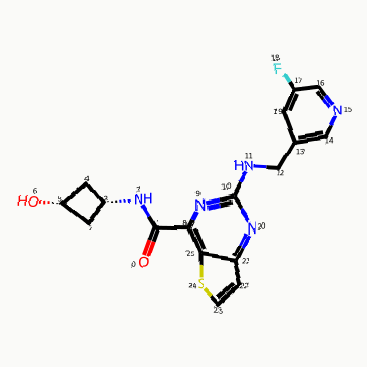 O=C(N[C@H]1C[C@@H](O)C1)c1nc(NCc2cncc(F)c2)nc2ccsc12